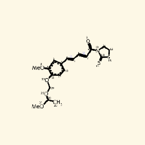 COc1cc(/C=C/C=C/C(=O)N2CCSC2=S)ccc1OCOC(C)OC